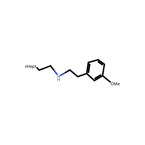 CCCCCCCCCNCCc1cccc(OC)c1